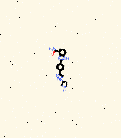 NC(=O)c1cccc2[nH]c(-c3ccc(-c4cn([C@H]5CCNC5)nn4)cc3)nc12